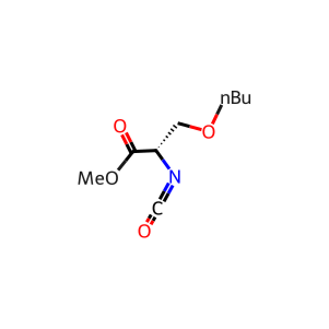 CCCCOC[C@H](N=C=O)C(=O)OC